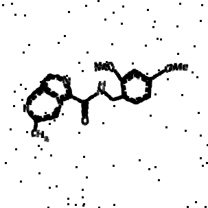 COc1ccc(CNC(=O)c2ncc3cnc(C)cn23)c(OC)c1